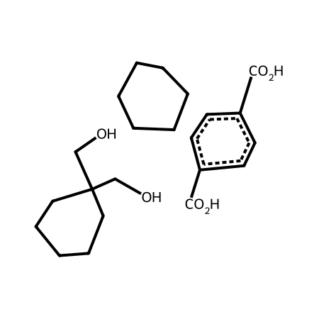 C1CCCCC1.O=C(O)c1ccc(C(=O)O)cc1.OCC1(CO)CCCCC1